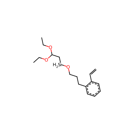 C=Cc1ccccc1CCCO[SiH2]CC(OCC)OCC